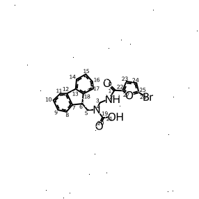 O=C(NCN(CC1c2ccccc2-c2ccccc21)C(=O)O)c1ccc(Br)o1